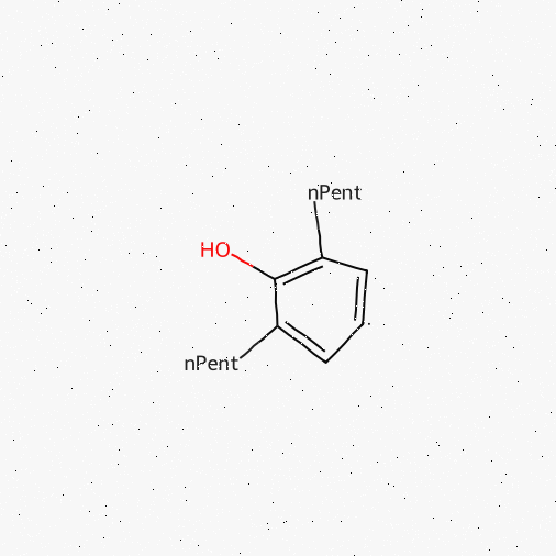 CCCCCc1c[c]cc(CCCCC)c1O